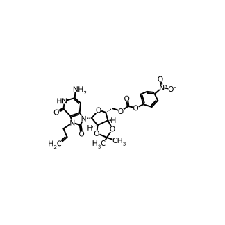 C=CCn1c(=O)n([C@@H]2O[C@H](COC(=O)Oc3ccc([N+](=O)[O-])cc3)[C@H]3OC(C)(C)O[C@H]32)c2cc(N)[nH]c(=O)c21